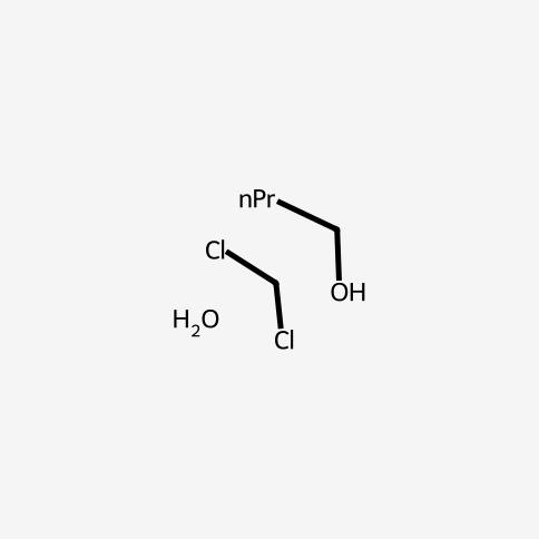 CCCCO.ClCCl.O